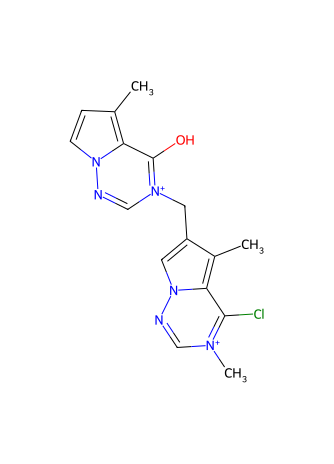 Cc1ccn2nc[n+](Cc3cn4nc[n+](C)c(Cl)c4c3C)c(O)c12